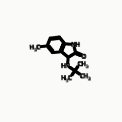 Cc1ccc2c(c1)C(NC(C)(C)C)C(=O)N2